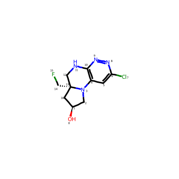 O[C@@H]1CN2c3cc(Cl)nnc3NC[C@]2(CF)C1